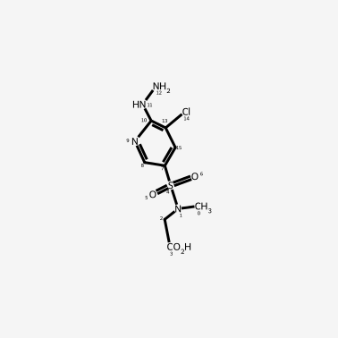 CN(CC(=O)O)S(=O)(=O)c1cnc(NN)c(Cl)c1